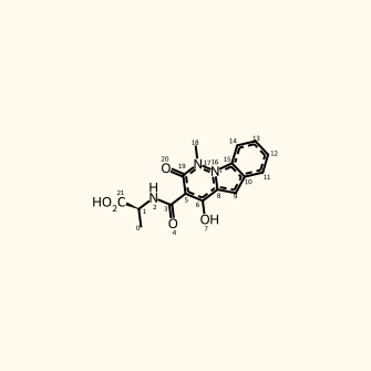 C[C@H](NC(=O)c1c(O)c2cc3ccccc3n2n(C)c1=O)C(=O)O